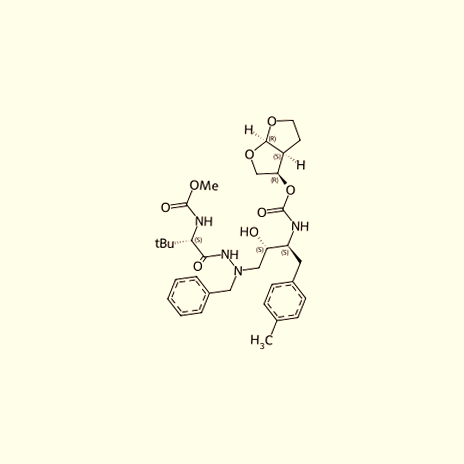 COC(=O)N[C@H](C(=O)NN(Cc1ccccc1)C[C@H](O)[C@H](Cc1ccc(C)cc1)NC(=O)O[C@H]1CO[C@H]2OCC[C@H]21)C(C)(C)C